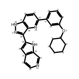 c1cc(OC2CCCCC2)cc(-c2ccc3[nH]nc(-c4cc5ccncc5[nH]4)c3n2)c1